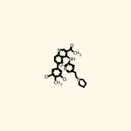 CC(=O)c1cnc2ccc(-c3cc(Cl)c(C)c(Cl)c3)cc2c1Nc1cc(CCN2CCCC2)cnc1C